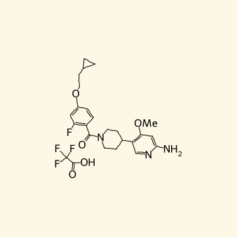 COc1cc(N)ncc1C1CCN(C(=O)c2ccc(OCCC3CC3)cc2F)CC1.O=C(O)C(F)(F)F